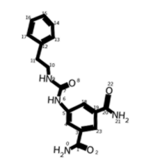 NC(=O)c1cc(NC(=O)NCCc2ccccc2)cc(C(N)=O)c1